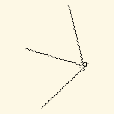 CCCCCCCCCCCCCCCCCCCCCCCCCCCCSc1c[c]cc(SCCCCCCCCCCCCCCCCCCCCCCCCCCCC)c1SCCCCCCCCCCCCCCCCCCCCCCCCCCCC